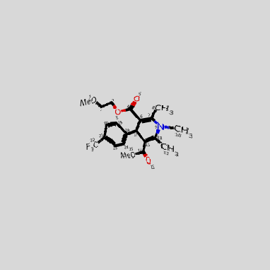 COCCOC(=O)C1=C(C)N(C)C(C)=C(C(=O)OC)C1c1ccc(C(F)(F)F)cc1